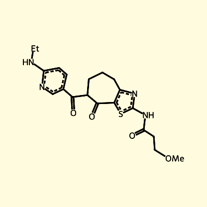 CCNc1ccc(C(=O)C2CCCc3nc(NC(=O)CCOC)sc3C2=O)cn1